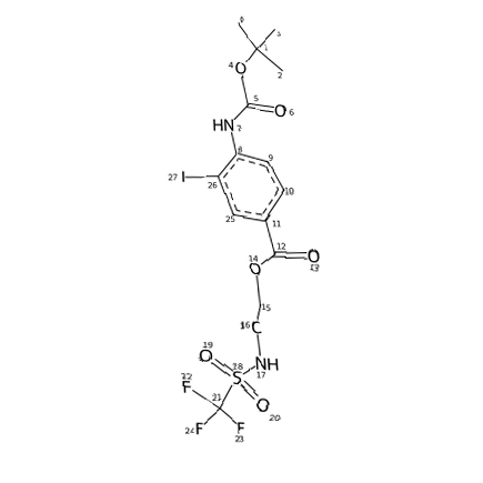 CC(C)(C)OC(=O)Nc1ccc(C(=O)OCCNS(=O)(=O)C(F)(F)F)cc1I